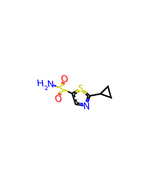 NS(=O)(=O)c1cnc(C2CC2)s1